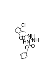 N=C(NC(=O)Cc1c(Cl)cccc1Cl)NC(=O)OCc1ccccc1